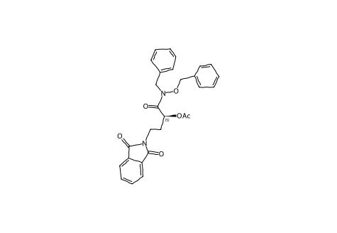 CC(=O)O[C@@H](CCN1C(=O)c2ccccc2C1=O)C(=O)N(Cc1ccccc1)OCc1ccccc1